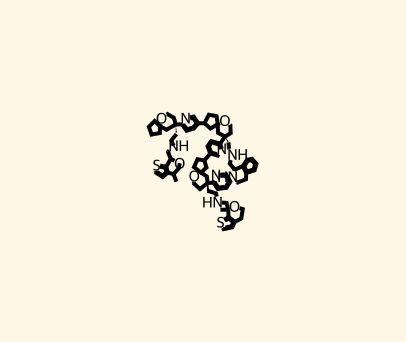 CC1COC(CNCC[C@@]2(c3ccc(C4CCC5(C4)C[C@](CCNCC4NCCc6ccccc64)(c4ccc(C6CCC7(C6)C[C@](CCNCC6(C)OCCc8ccsc86)(c6ccccn6)CCO7)cn4)CCO5)cn3)CCOC3(CCCC3)C2)c2sccc21